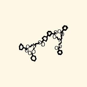 O=C(OCCN(CCOC(=O)c1ccccc1)CCOC(=O)c1cccc(C2CCC(C(=O)OCCN(CCOC(=O)C3CCCCC3)CCOC(=O)C3CCCCC3)CC2)c1)c1ccccc1